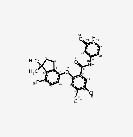 CC1(C)CCc2c(Oc3cc(C(F)(F)F)c(Cl)cc3C(=O)Nc3cc[nH]c(=O)c3)ccc(F)c21